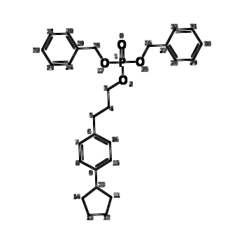 O=P(OCCCc1ccc(C2CCCC2)cc1)(OCc1ccccc1)OCc1ccccc1